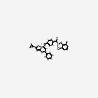 Cc1cccc(Cl)c1CNC(=O)c1ccc(Nc2cc(-c3ccccc3)nc3cc(C4CC4)nn23)cc1